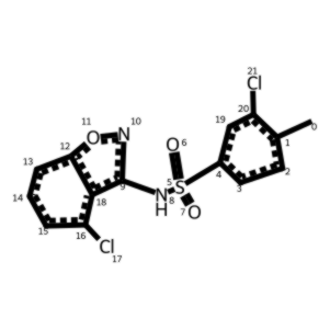 Cc1ccc(S(=O)(=O)Nc2noc3cccc(Cl)c23)cc1Cl